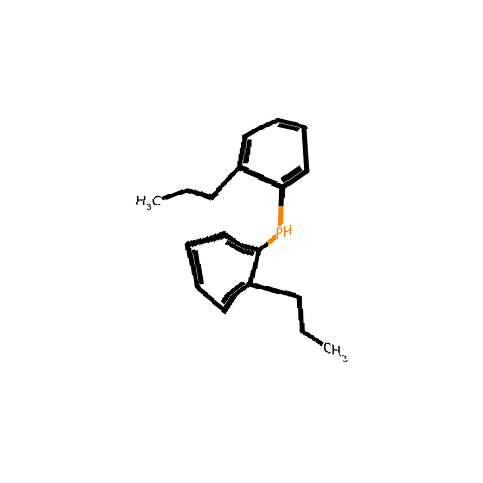 CCCc1ccccc1Pc1ccccc1CCC